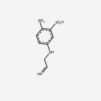 N=CCNc1ccc([N+](=O)[O-])c(S(=O)(=O)O)c1